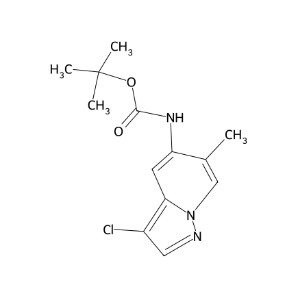 Cc1cn2ncc(Cl)c2cc1NC(=O)OC(C)(C)C